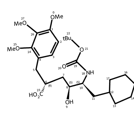 COc1ccc(C[C@H](C[C@H](O)[C@H](CC2CCCCC2)NC(=O)OC(C)(C)C)C(=O)O)c(OC)c1OC